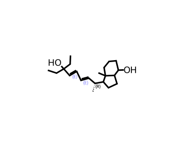 CCC(O)(/C=C/C=C/[C@@H](C)C1CCC2C(O)CCCC21C)CC